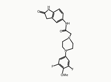 COc1c(F)cc(N2CCN(CC(=O)Nc3ccc4c(c3)CC(=O)N4)CC2)cc1F